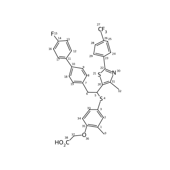 Cc1cc(SC(Cc2ccc(-c3ccc(F)cc3)cc2)c2sc(-c3ccc(C(F)(F)F)cc3)nc2C)ccc1OCC(=O)O